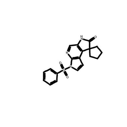 O=C1Nc2cnc3c(ccn3S(=O)(=O)c3ccccc3)c2C12CCCC2